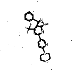 Cn1nc(-c2ccccc2)c2c(C(F)(F)F)cc(-c3ccc(N4CCOCC4)nc3)nc21